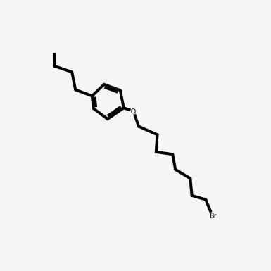 CCCCc1ccc(OCCCCCCCCBr)cc1